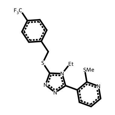 CCn1c(SCc2ccc(C(F)(F)F)cc2)nnc1-c1cccnc1SC